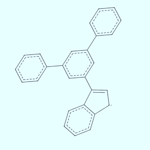 [CH]1C=C(c2cc(-c3ccccc3)cc(-c3ccccc3)c2)c2ccccc21